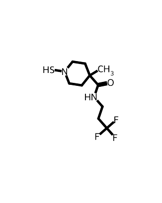 CC1(C(=O)NCCC(F)(F)F)CCN(S)CC1